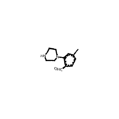 Cc1ccc(C=O)c(N2CCNCC2)c1